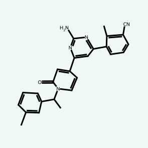 Cc1cccc(C(C)n2ccc(-c3cc(-c4cccc(C#N)c4C)nc(N)n3)cc2=O)c1